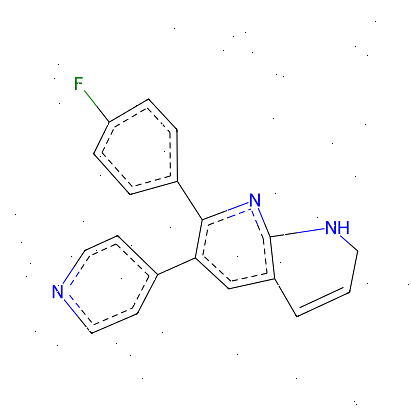 Fc1ccc(-c2nc3c(cc2-c2ccncc2)C=CCN3)cc1